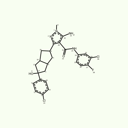 Cn1nc(C2CC3CC(O)(c4ccc(Cl)cc4)CC3C2)c(C(=O)Nc2ccc(F)c(Cl)c2)c1N